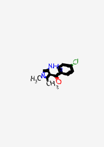 Cc1c(C(=O)c2ccc(Cl)cc2)c(N)cn1C